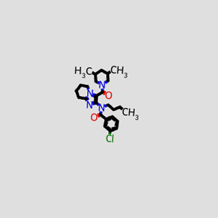 CCCCN(C(=O)c1cccc(Cl)c1)c1nc2n(c1C(=O)N1CC(C)CC(C)C1)CCCC2